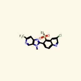 CCS(=O)(=O)c1c(-c2nc3cc(C(F)(F)F)ncc3n2C)ccc2ncc(Cl)cc12